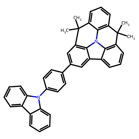 CC1(C)c2cccc3c2-n2c4c1cccc4c1cc(-c4ccc(-n5c6ccccc6c6ccccc65)cc4)cc(c12)C3(C)C